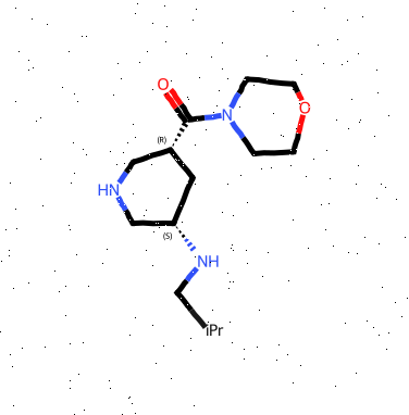 CC(C)CN[C@@H]1CNC[C@H](C(=O)N2CCOCC2)C1